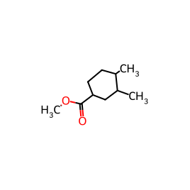 COC(=O)C1CCC(C)C(C)C1